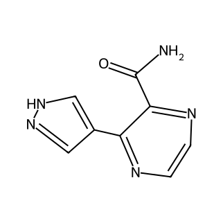 NC(=O)c1nccnc1-c1cn[nH]c1